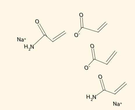 C=CC(=O)[O-].C=CC(=O)[O-].C=CC(N)=O.C=CC(N)=O.[Na+].[Na+]